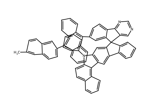 Cc1ccc2cc(-c3c4ccccc4c(-c4ccc5c(c4)C4(c6ccccc6-c6cc7c8c9ccccc9ccc8n(-c8ccccc8)c7cc64)c4cncnc4-5)c4ccccc34)ccc2c1